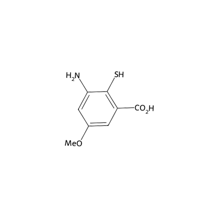 COc1cc(N)c(S)c(C(=O)O)c1